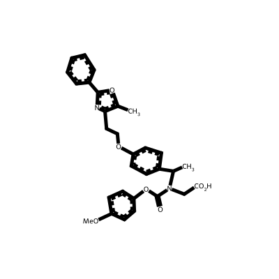 COc1ccc(OC(=O)N(CC(=O)O)C(C)c2ccc(OCCc3nc(-c4ccccc4)oc3C)cc2)cc1